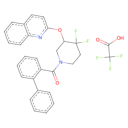 O=C(O)C(F)(F)F.O=C(c1ccccc1-c1ccccc1)N1CCC(F)(F)C(Oc2ccc3ccccc3n2)C1